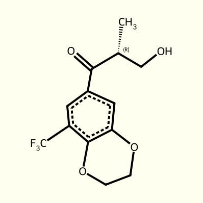 C[C@H](CO)C(=O)c1cc2c(c(C(F)(F)F)c1)OCCO2